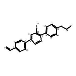 C=Cc1ccc(-c2ccc(-c3ccc(CCC)cc3)c(F)c2)cc1